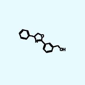 OCc1cccc(C2=NC(c3ccccc3)CO2)c1